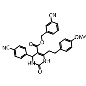 COc1ccc(CCC2=C(C(=O)OCc3cccc(C#N)c3)C(c3ccc(C#N)cc3)NC(=O)N2)cc1